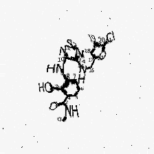 CNC(=O)c1cccc(Nc2nsnc2NCc2ccc(Cl)o2)c1O